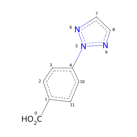 O=C(O)c1ccc(-n2nccn2)cc1